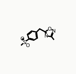 Cc1noc(Cc2ccc(S(C)(=O)=O)cc2)n1